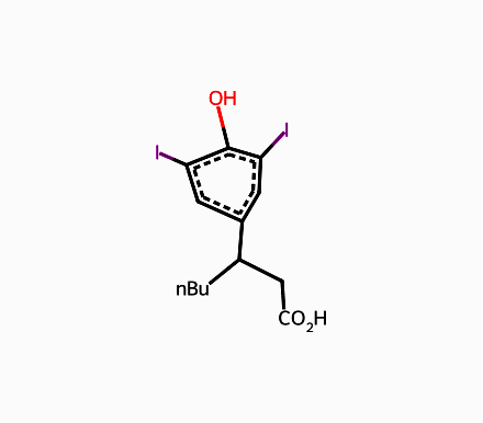 CCCCC(CC(=O)O)c1cc(I)c(O)c(I)c1